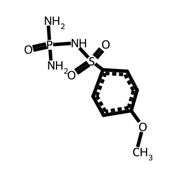 COc1ccc(S(=O)(=O)NP(N)(N)=O)cc1